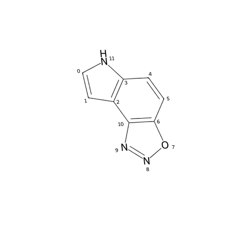 c1cc2c(ccc3onnc32)[nH]1